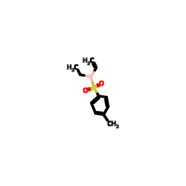 C=CB(CC)S(=O)(=O)c1ccc(C)cc1